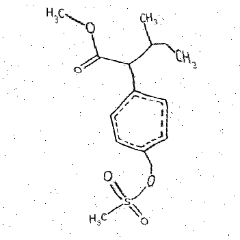 COC(=O)C(c1ccc(OS(C)(=O)=O)cc1)C(C)C